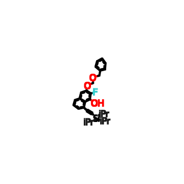 CC(C)[Si](C#Cc1cccc2cc(OCOCc3ccccc3)c(F)c(O)c12)(C(C)C)C(C)C